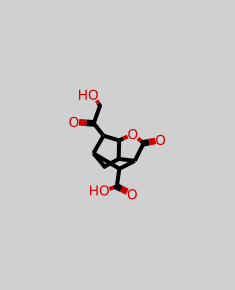 O=C(CO)C1C2CC3C1OC(=O)C3C2C(=O)O